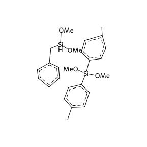 CO[SiH](Cc1ccccc1)OC.CO[Si](OC)(c1ccc(C)cc1)c1ccc(C)cc1